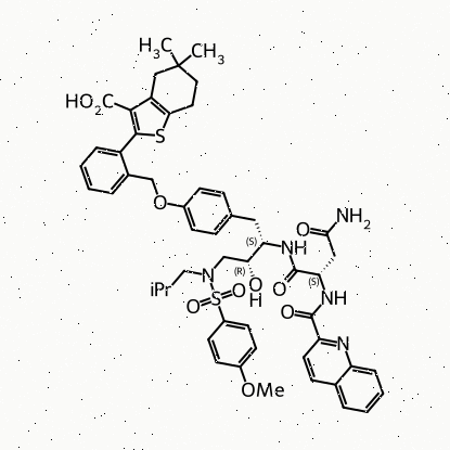 COc1ccc(S(=O)(=O)N(CC(C)C)C[C@@H](O)[C@H](Cc2ccc(OCc3ccccc3-c3sc4c(c3C(=O)O)CC(C)(C)CC4)cc2)NC(=O)[C@H](CC(N)=O)NC(=O)c2ccc3ccccc3n2)cc1